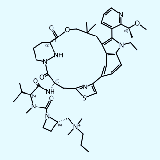 CCC[N+](C)(C)C[C@@H]1CCN1C(=O)N(C)[C@H](C(=O)N[C@H]1Cc2nc(cs2)-c2ccc3c(c2)c(c(-c2cccnc2[C@H](C)OC)n3CC)CC(C)(C)COC(=O)[C@@H]2CCCN(N2)C1=O)C(C)C